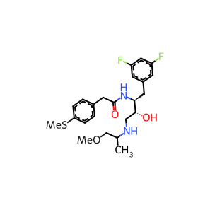 COCC(C)NC[C@@H](O)[C@H](Cc1cc(F)cc(F)c1)NC(=O)Cc1ccc(SC)cc1